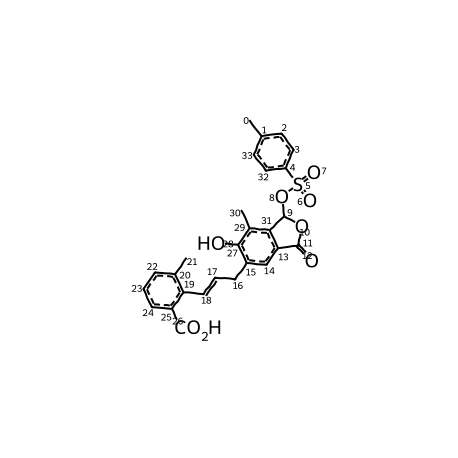 Cc1ccc(S(=O)(=O)OC2OC(=O)c3cc(CC=Cc4c(C)cccc4C(=O)O)c(O)c(C)c32)cc1